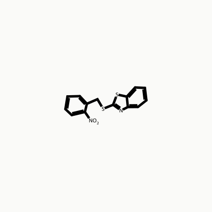 O=[N+]([O-])c1ccccc1CSc1nc2ccccc2s1